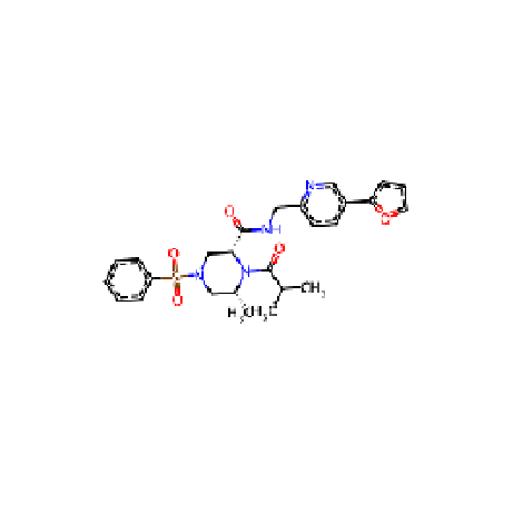 CC(C)C(=O)N1[C@H](C)CN(S(=O)(=O)c2ccccc2)C[C@@H]1C(=O)NCc1ccc(-c2ccco2)cn1